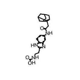 O=C(O)NCCc1nc2cc(NC(=O)CC3C4CC5CC(C4)CC3C5)ccc2[nH]1